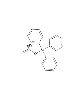 [CH2]CCC(=O)O[Si](c1ccccc1)(c1ccccc1)c1ccccc1